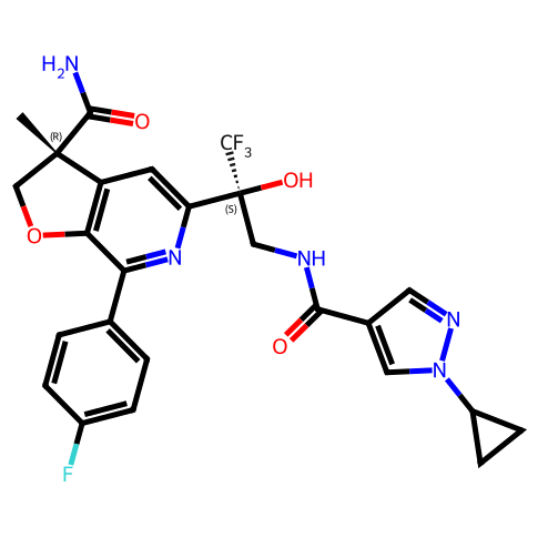 C[C@]1(C(N)=O)COc2c1cc([C@@](O)(CNC(=O)c1cnn(C3CC3)c1)C(F)(F)F)nc2-c1ccc(F)cc1